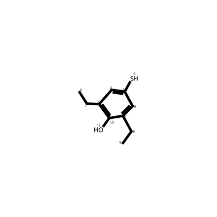 CCc1cc(S)cc(CC)c1O